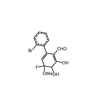 COC1(F)C=C(c2ccccc2Br)C(C=O)=C(O)C1O